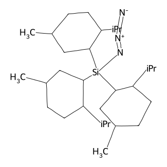 CC1CCC(C(C)C)C([Si](N=[N+]=[N-])(C2CC(C)CCC2C(C)C)C2CC(C)CCC2C(C)C)C1